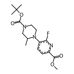 COC(=O)c1ccc(N2CCN(C(=O)OC(C)(C)C)CC2C)c(F)n1